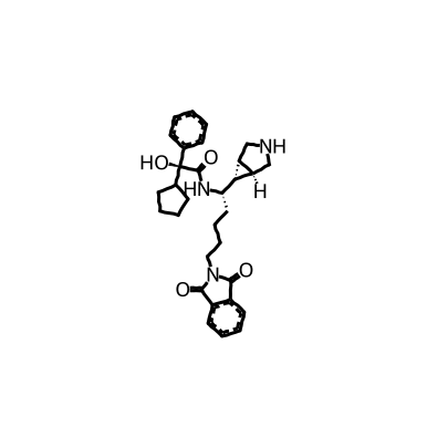 O=C1c2ccccc2C(=O)N1CCCC[C@H](NC(=O)[C@@](O)(c1ccccc1)C1CCCC1)[C@@H]1C2CNC[C@H]21